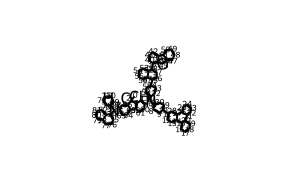 CC1(C)c2cc(N(c3ccc(-c4ccc5c6ccccc6c6ccccc6c5c4)cc3)c3ccc(-c4ccc(-c5cccc6c5oc5ccccc56)c5ccccc45)cc3)ccc2-c2ccc(N(c3ccccc3)c3cccc4ccccc34)cc21